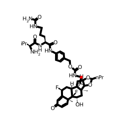 CCCC1O[C@@H]2CC3[C@@H]4C[C@H](F)C5=CC(=O)C=C[C@]5(C)[C@@]4(F)[C@@H](O)C[C@]3(C)[C@]2(C(=O)CNC(=O)OCc2ccc(NC(=O)[C@H](CCCNC(N)=O)NC(=O)[C@@H](N)C(C)C)cc2)O1